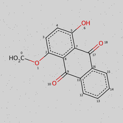 O=C(O)Oc1ccc(O)c2c1C(=O)c1ccccc1C2=O